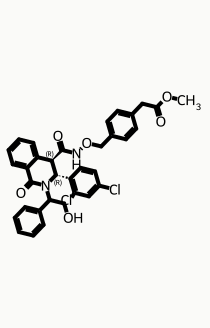 COC(=O)Cc1ccc(CONC(=O)[C@@H]2c3ccccc3C(=O)N(C(CO)c3ccccc3)[C@H]2c2ccc(Cl)cc2Cl)cc1